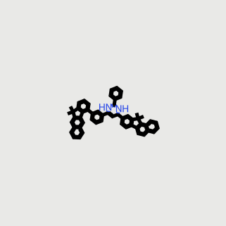 CC1(C)c2cc3ccccc3cc2-c2c(-c3cccc(C4=CC(c5ccc6c(c5)C(C)(C)c5c-6ccc6ccccc56)NC(c5ccccc5)N4)c3)cccc21